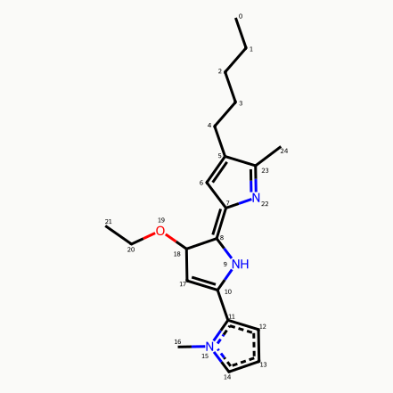 CCCCCC1=CC(=C2NC(c3cccn3C)=CC2OCC)N=C1C